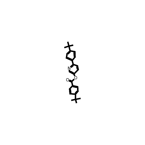 CC(C)(C)c1ccc(C(=O)Oc2ccc(-c3ccc(C(C)(C)C)cc3)nc2)cc1